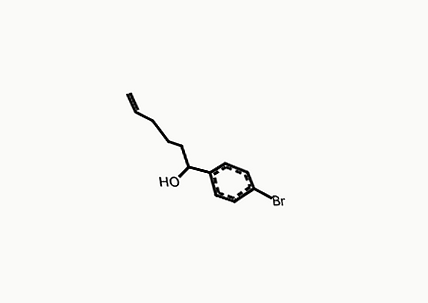 C=CCCCC(O)c1ccc(Br)cc1